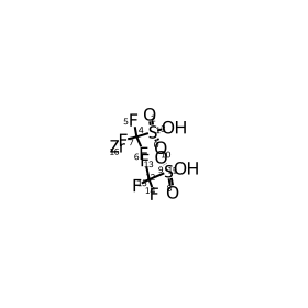 O=S(=O)(O)C(F)(F)F.O=S(=O)(O)C(F)(F)F.[Zr]